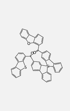 O=C(c1ccc2c(c1)[Si]1(c3ccccc3-2)c2ccccc2-c2ccc(C(=O)c3cccc4c3sc3ccccc34)cc21)c1cccc2c1oc1ccccc12